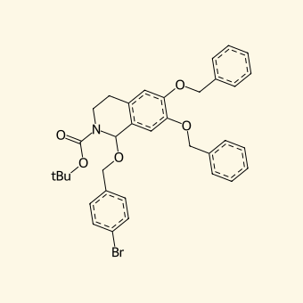 CC(C)(C)OC(=O)N1CCc2cc(OCc3ccccc3)c(OCc3ccccc3)cc2C1OCc1ccc(Br)cc1